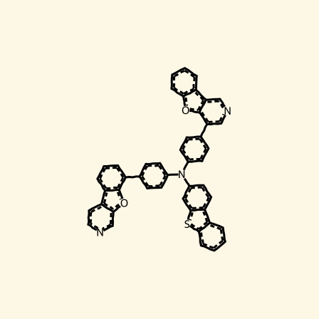 c1ccc2c(c1)oc1c(-c3ccc(N(c4ccc(-c5cccc6c5oc5cnccc56)cc4)c4ccc5c(c4)sc4ccccc45)cc3)cncc12